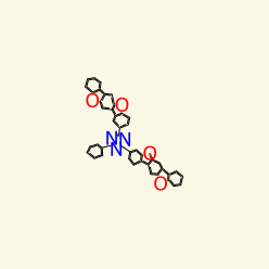 c1ccc(-c2nc(-c3ccc4c(c3)oc3cc5c(cc34)oc3ccccc35)nc(-c3ccc4oc5cc6c(cc5c4c3)oc3ccccc36)n2)cc1